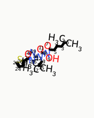 CC(C)CCCC(=O)N(O)C(=O)N(CC(C)(C)C)c1noc(-c2cccs2)n1